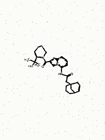 CC(C)(O)C1CCCCN1C(=O)c1cn2c(NC(=O)CC34CC=CC(CCC3)C4)cccc2n1